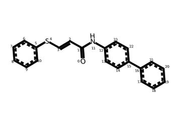 O=C(C=CSc1ccccc1)Nc1ccc(-c2ccccc2)cc1